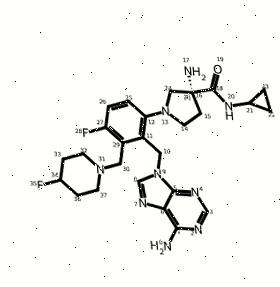 Nc1ncnc2c1ncn2Cc1c(N2CC[C@](N)(C(=O)NC3CC3)C2)ccc(F)c1CN1CCC(F)CC1